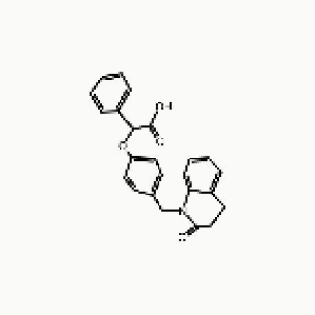 O=C(O)C(Oc1ccc(CN2C(=O)CCc3ccccc32)cc1)c1ccccc1